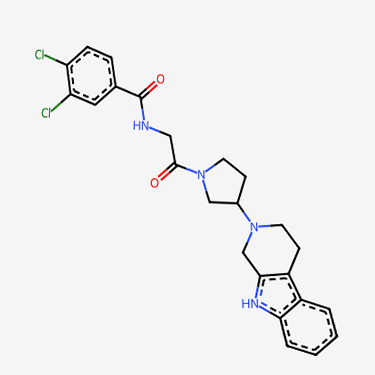 O=C(NCC(=O)N1CCC(N2CCc3c([nH]c4ccccc34)C2)C1)c1ccc(Cl)c(Cl)c1